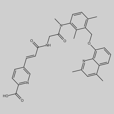 Cc1cc(C)c2cccc(OCc3c(C)ccc(N(C)C(=O)CNC(=O)C=Cc4ccc(C(=O)O)nc4)c3C)c2n1